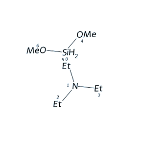 CCN(CC)CC.CO[SiH2]OC